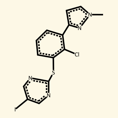 Cn1ccc(-c2cccc(Sc3ncc(I)cn3)c2Cl)n1